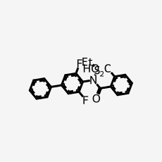 CCSN(C(=O)c1ccccc1C(=O)O)c1c(F)cc(-c2ccccc2)cc1F